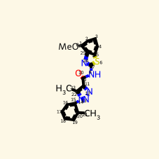 COc1cccc2sc(NC(=O)c3nnn(-c4ccccc4C)c3C)nc12